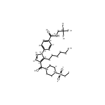 CCS(=O)(=O)N1CCN(C(=O)c2nnn(-c3ccc(C(=O)NCC(F)(F)F)cc3)c2CCCCCF)CC1